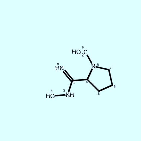 N=C(NO)C1CCCN1C(=O)O